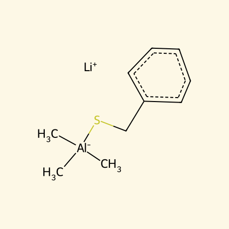 [CH3][Al-]([CH3])([CH3])[S]Cc1ccccc1.[Li+]